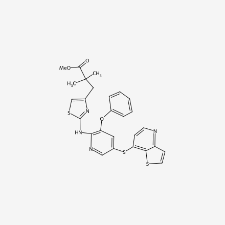 COC(=O)C(C)(C)Cc1csc(Nc2ncc(Sc3ccnc4ccsc34)cc2Oc2ccccc2)n1